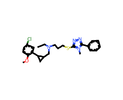 CCN(CCCSc1nnc(-c2ccccc2)n1C)CC1CC1c1cc(Cl)ccc1OC